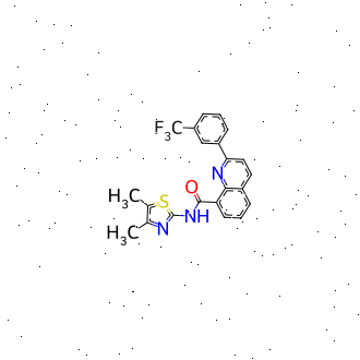 Cc1nc(NC(=O)c2cccc3ccc(-c4cccc(C(F)(F)F)c4)nc23)sc1C